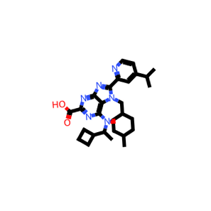 CC1CCC(Cn2c(-c3cc(C(C)C)ccn3)nc3nc(C(=O)O)nc(N(C)C(C)C4CCC4)c32)CC1